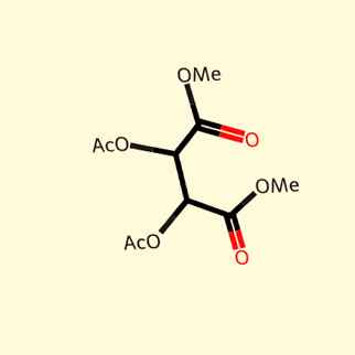 COC(=O)C(OC(C)=O)C(OC(C)=O)C(=O)OC